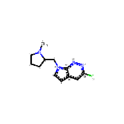 CN1CCCC1Cn1ccc2cc(Cl)nnc21